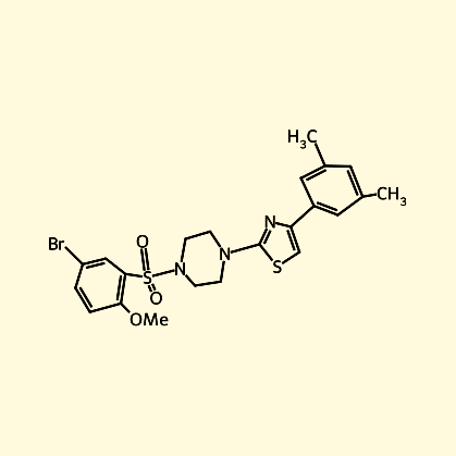 COc1ccc(Br)cc1S(=O)(=O)N1CCN(c2nc(-c3cc(C)cc(C)c3)cs2)CC1